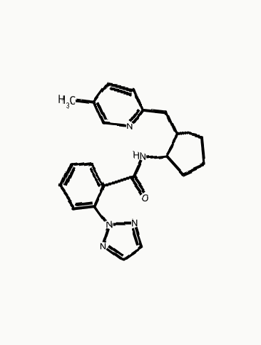 Cc1ccc(CC2CCCC2NC(=O)c2ccccc2-n2nccn2)nc1